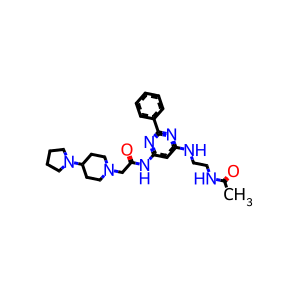 CC(=O)NCCNc1cc(NC(=O)CN2CCC(N3CCCC3)CC2)nc(-c2ccccc2)n1